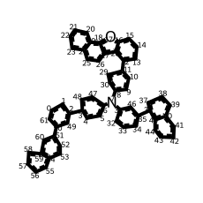 c1cc(-c2ccc(N(c3ccc(-c4cccc5oc6c7ccccc7ccc6c45)cc3)c3cccc(-c4cccc5ccccc45)c3)cc2)cc(-c2ccc3ccccc3c2)c1